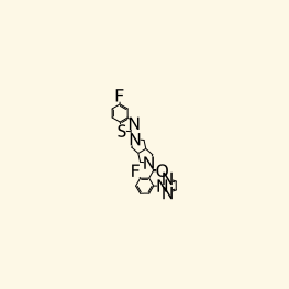 O=C(c1c(F)cccc1-n1nccn1)N1CC2CN(c3nc4cc(F)ccc4s3)CC2C1